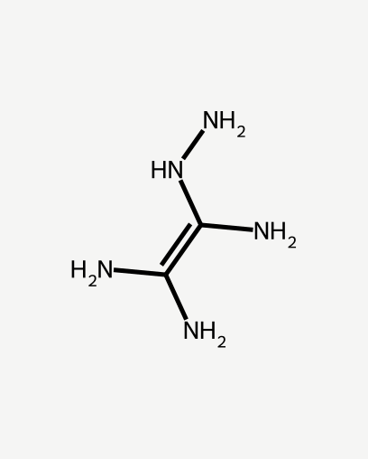 NNC(N)=C(N)N